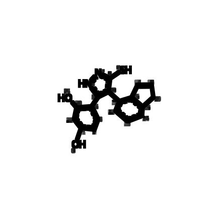 Oc1ccc(-c2[nH]nc(S)c2-c2cccc3c2C=CC3)c(O)c1